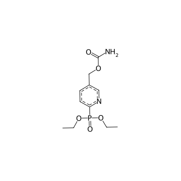 CCOP(=O)(OCC)c1ccc(COC(N)=O)cn1